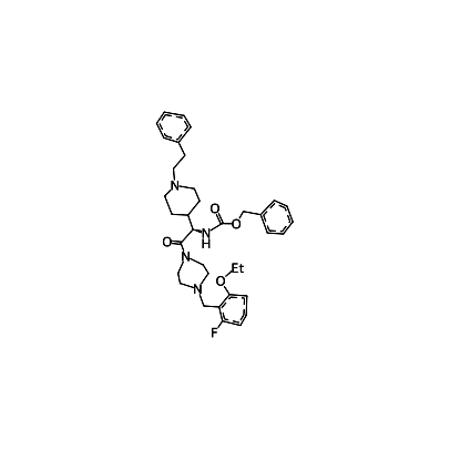 CCOc1cccc(F)c1CN1CCN(C(=O)[C@H](NC(=O)OCc2ccccc2)C2CCN(CCc3ccccc3)CC2)CC1